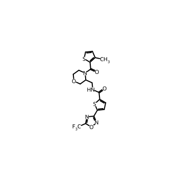 Cc1ccsc1C(=O)N1CCOCC1CNC(=O)c1ccc(-c2noc(C(F)(F)F)n2)s1